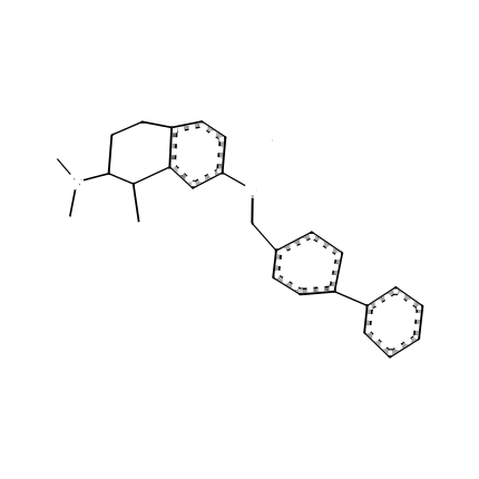 CC1c2cc(OCc3ccc(-c4ccccc4)cc3)ccc2CCC1N(C)C.Cl